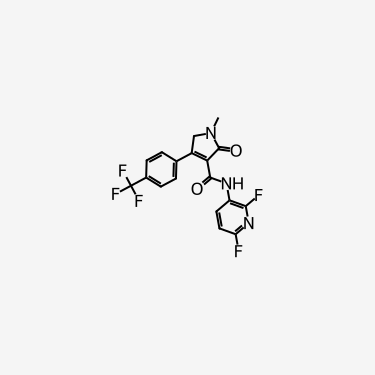 CN1CC(c2ccc(C(F)(F)F)cc2)=C(C(=O)Nc2ccc(F)nc2F)C1=O